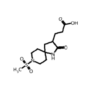 CS(=O)(=O)N1CCC2(CC1)CC(CCC(=O)O)C(=O)N2